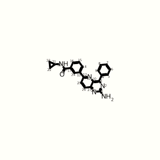 Nc1nc(-c2ccccc2)c2nc(-c3cccc(C(=O)NC4CC4)c3)ccc2n1